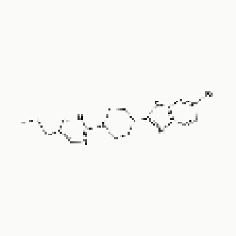 CCCc1cnc(N2CCN(c3nc4ccc(Br)cc4s3)CC2)nc1